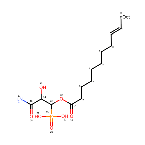 CCCCCCCC/C=C/CCCCCCCC(=O)OC(C(O)C(N)=O)P(=O)(O)O